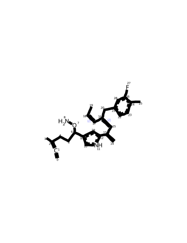 C=C=C(C)CCC(ON)c1c[nH]c(C(=C)/C=C(\C=C/C)Cc2ccc(C)c(F)c2)c1